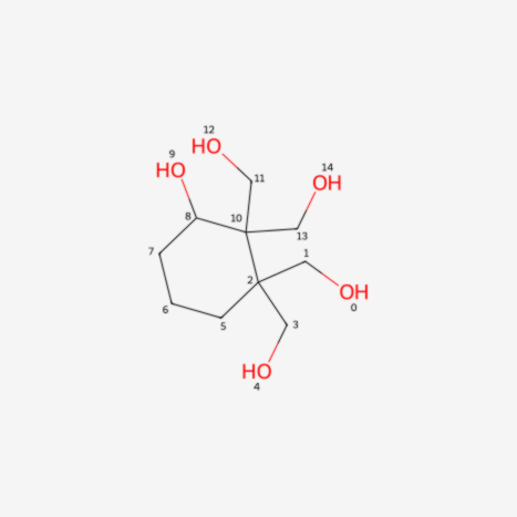 OCC1(CO)CCCC(O)C1(CO)CO